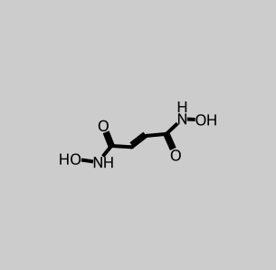 O=C(C=CC(=O)NO)NO